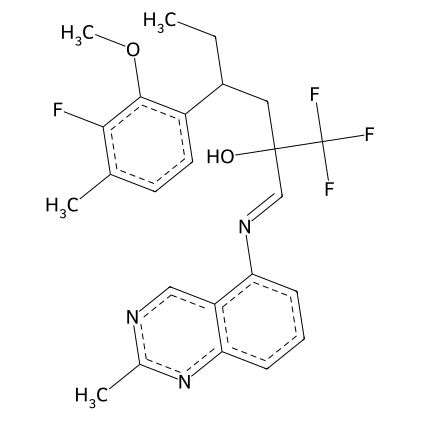 CCC(CC(O)(C=Nc1cccc2nc(C)ncc12)C(F)(F)F)c1ccc(C)c(F)c1OC